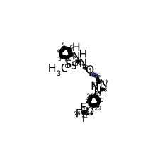 CSc1ccccc1NC(=S)NCO/C=C/c1ncn(-c2ccc(OC(F)(F)F)cc2)n1